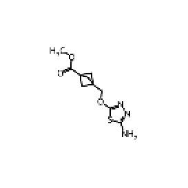 COC(=O)C12CC(COc3nnc(N)s3)(C1)C2